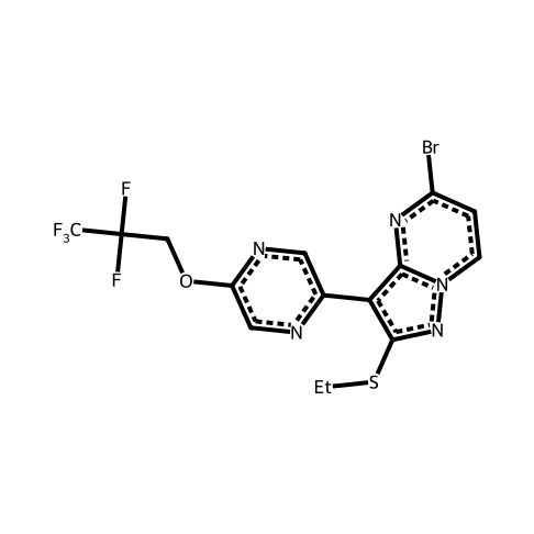 CCSc1nn2ccc(Br)nc2c1-c1cnc(OCC(F)(F)C(F)(F)F)cn1